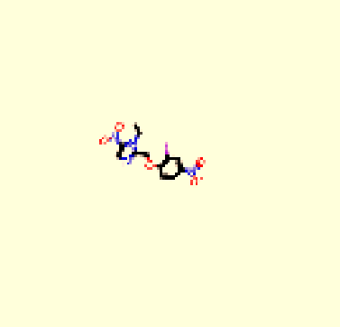 CCn1c([N+](=O)[O-])cnc1COc1ccc([N+](=O)[O-])cc1I